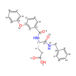 O=C(O)CC[C@H](NC(=O)c1cccc(Oc2ccccc2)c1)C(=O)NCc1ccccc1